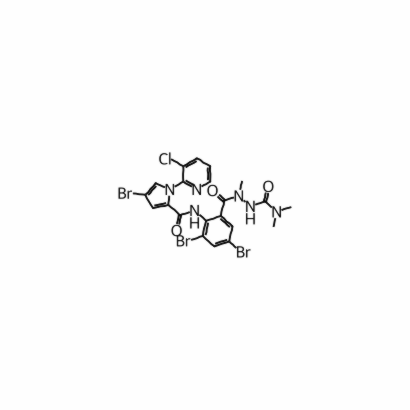 CN(C)C(=O)NN(C)C(=O)c1cc(Br)cc(Br)c1NC(=O)c1cc(Br)cn1-c1ncccc1Cl